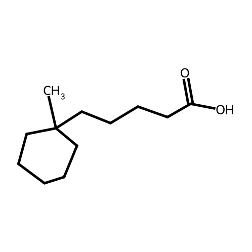 CC1(CCCCC(=O)O)CCCCC1